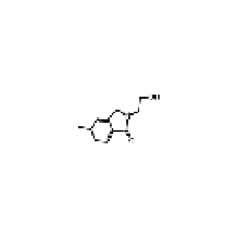 CC1C=C2CN(CCO)C(=O)C2=CC1